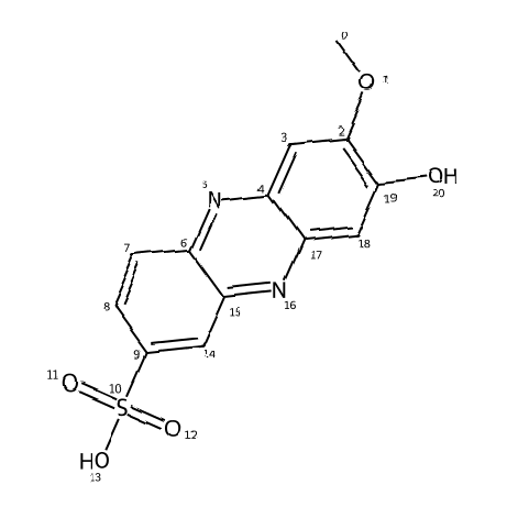 COc1cc2nc3ccc(S(=O)(=O)O)cc3nc2cc1O